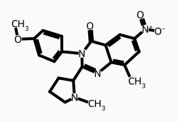 COc1ccc(-n2c(C3CCCN3C)nc3c(C)cc([N+](=O)[O-])cc3c2=O)cc1